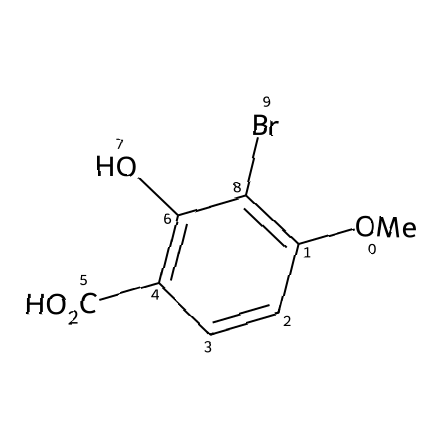 COc1ccc(C(=O)O)c(O)c1Br